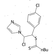 CCCCC(=S)SC(c1ccc(Cl)cc1)C(Cl)n1ccnc1